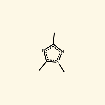 [CH2]n1nc(C)nc1C